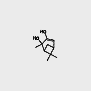 CC1(O)C(O)=CC2CC1C2(C)C